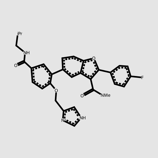 CNC(=O)c1c(-c2ccc(F)cc2)oc2ccc(-c3cc(C(=O)NCC(C)C)ccc3OCc3c[nH]cn3)cc12